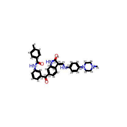 Cc1ccc(C(=O)Nc2cccc(C(=O)c3ccc4c(c3)NC(=O)/C4=C/Nc3ccc(N4CCN(C)CC4)cc3)c2)cc1